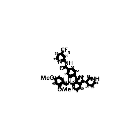 COc1ccc(CNc2nccc3c([C@@H]4CCCNC4)nn(-c4ccc(C(=O)Nc5cc(C(F)(F)F)ccn5)cc4)c23)c(OC)c1